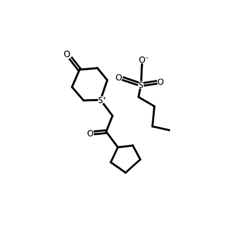 CCCCS(=O)(=O)[O-].O=C1CC[S+](CC(=O)C2CCCC2)CC1